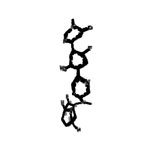 CN(c1cnc(-c2cc(F)c(-c3cc(=O)n(C)cn3)cc2O)cn1)[C@H]1C[C@@H]2CC[C@@H](N2)[C@H]1F